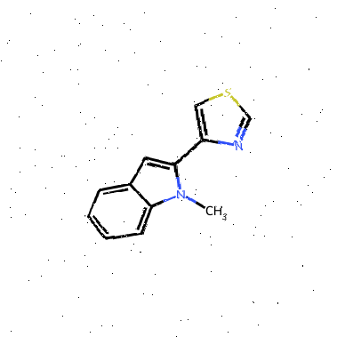 Cn1c(-c2cscn2)cc2c[c]ccc21